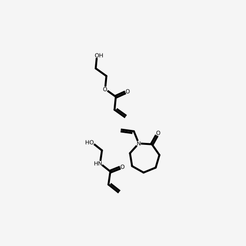 C=CC(=O)NCO.C=CC(=O)OCCO.C=CN1CCCCCC1=O